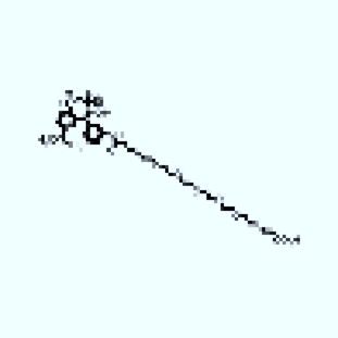 CCCCC1(CC)CS(=O)(=O)c2ccc(N(C)C)cc2C(c2cccc(NC(=O)CCOCCOCCOCCOCCOCCOCCOCCC(=O)O)c2)C1O